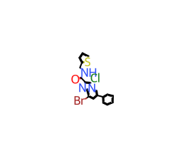 O=C(NCc1cccs1)c1nc2c(Br)cc(-c3ccccc3)cn2c1Cl